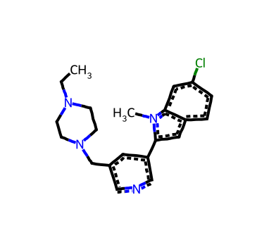 CCN1CCN(Cc2cncc(-c3cc4ccc(Cl)cc4n3C)c2)CC1